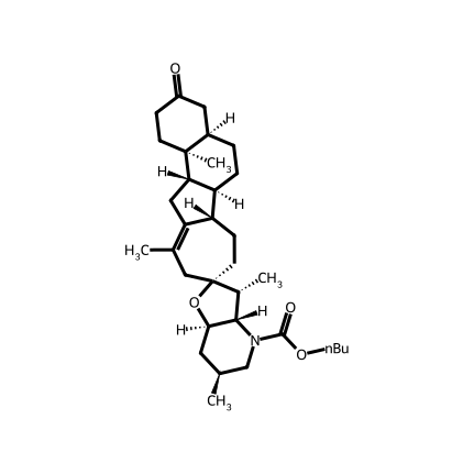 CCCCOC(=O)N1C[C@@H](C)C[C@H]2O[C@]3(CC[C@@H]4C(=C(C)C3)C[C@H]3[C@H]4CC[C@@H]4CC(=O)CC[C@@]43C)[C@H](C)[C@@H]21